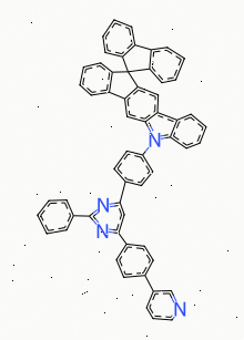 c1ccc(-c2nc(-c3ccc(-c4cccnc4)cc3)cc(-c3ccc(-n4c5ccccc5c5cc6c(cc54)-c4ccccc4C64c5ccccc5-c5ccccc54)cc3)n2)cc1